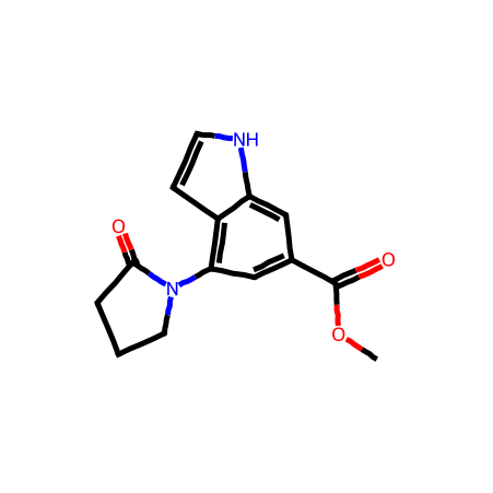 COC(=O)c1cc(N2CCCC2=O)c2cc[nH]c2c1